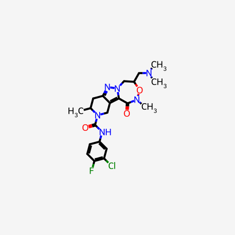 CC1Cc2nn3c(c2CN1C(=O)Nc1ccc(F)c(Cl)c1)C(=O)N(C)OC(CN(C)C)C3